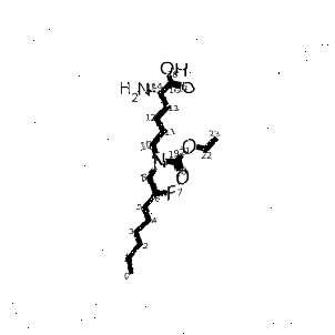 CCCCCCC(F)CN(CCCC[C@H](N)C(=O)O)C(=O)OCC